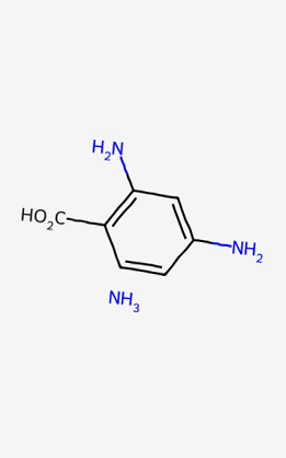 N.Nc1ccc(C(=O)O)c(N)c1